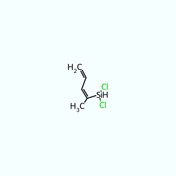 C=CC=C(C)[SiH](Cl)Cl